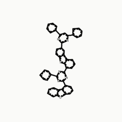 c1ccc(-c2cc(-c3ccccc3)nc(-c3ccc4sc5c(-c6nc(-c7ccccc7)nc(-c7cccc8oc9ccccc9c78)n6)cccc5c4c3)n2)cc1